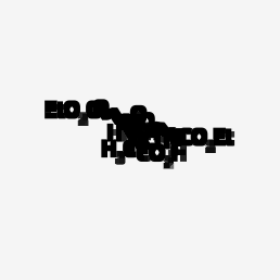 CCOC(=O)OCCCCOP(=O)(NC(=N)N(C)C(C)C(=O)O)OCCCCOC(=O)OCC